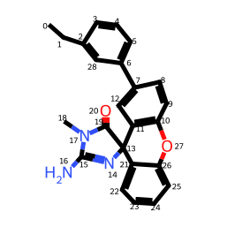 CCc1cccc(-c2ccc3c(c2)C2(N=C(N)N(C)C2=O)c2ccccc2O3)c1